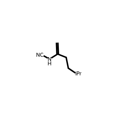 C=C(CCC(C)C)NC#N